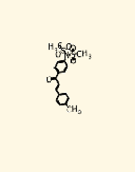 Cc1ccc(C=CC(=O)c2ccc(N(S(C)(=O)=O)S(C)(=O)=O)cc2)cc1